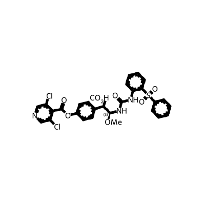 CO[C@H](NC(=O)Nc1ccccc1S(=O)(=O)c1ccccc1)C(C(=O)O)c1ccc(OC(=O)c2c(Cl)cncc2Cl)cc1